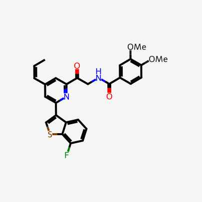 C/C=C\c1cc(C(=O)CNC(=O)c2ccc(OC)c(OC)c2)nc(-c2csc3c(F)cccc23)c1